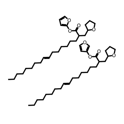 CCCCCCCCC=CCCCCCCC(CC1CCCO1)C(=O)Oc1ccco1.CCCCCCCCC=CCCCCCCC(CC1CCCO1)C(=O)Oc1ccoc1